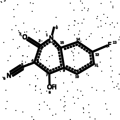 Cn1c(=O)c(C#N)c(O)c2ccc(F)cc21